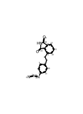 [N-]=[N+]=Nc1ccc(CCc2cccc3c2C(=O)NC3=O)cc1